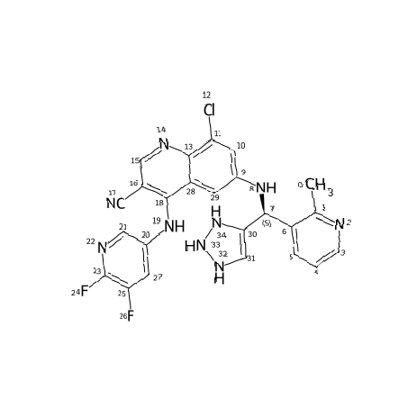 Cc1ncccc1[C@H](Nc1cc(Cl)c2ncc(C#N)c(Nc3cnc(F)c(F)c3)c2c1)C1=CNNN1